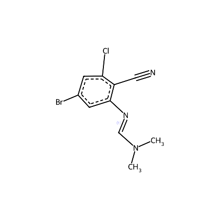 CN(C)/C=N/c1cc(Br)cc(Cl)c1C#N